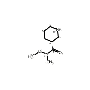 CON(C)C(=O)[C@@H]1CCCNC1